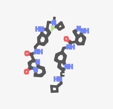 CN(Cc1cc2ccc(CNC(=O)c3cc(=O)n4ccccc4n3)cc2[nH]1)C1(F)CCC1.O=C(NCc1ccc2cc(CNCC3CCC3)[nH]c2c1)c1cccc2[nH]ncc12